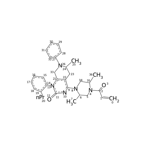 C=CC(=O)N1CC(C)N(c2nc(=O)n(-c3ccccc3CCC)c3c2CC(C)N(c2ccccc2)C3)CC1C